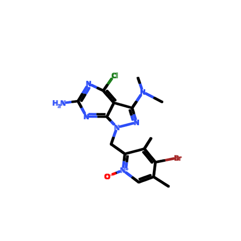 Cc1c[n+]([O-])c(Cn2nc(N(C)C)c3c(Cl)nc(N)nc32)c(C)c1Br